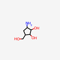 NC1CC(CO)C(O)C1O